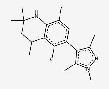 Cc1cc(-c2c(C)nn(C)c2C)c(Cl)c2c1NC(C)(C)CC2C